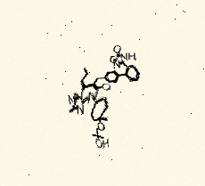 CCCc1c(Cc2ccc(-c3ccccc3-c3noc(=O)[nH]3)cc2)c(=O)n(C2CCC(C)(OCC(C)(C)O)CC2)c2nc(C)nn12